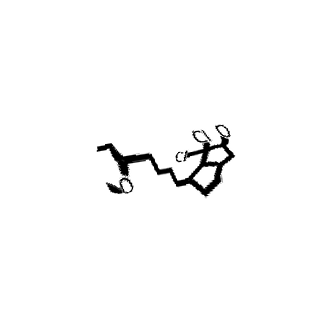 CCC(CCCCC1CCC2CC(=O)C(Cl)(Cl)C12)OC